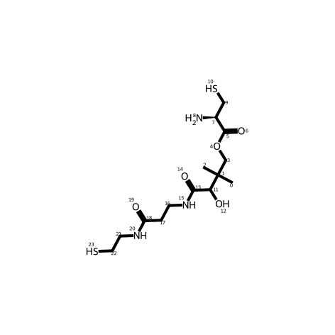 CC(C)(COC(=O)[C@@H](N)CS)C(O)C(=O)NCCC(=O)NCCS